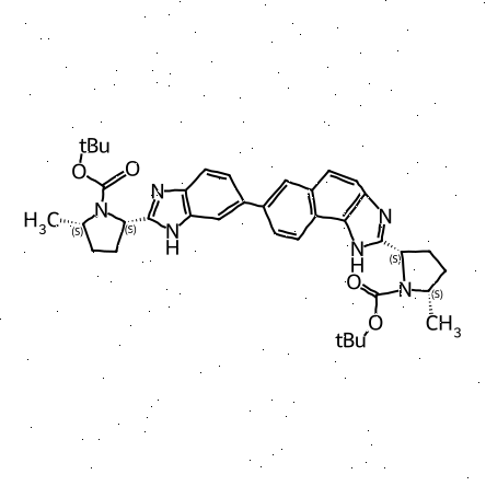 C[C@H]1CC[C@@H](c2nc3ccc(-c4ccc5c(ccc6nc([C@@H]7CC[C@H](C)N7C(=O)OC(C)(C)C)[nH]c65)c4)cc3[nH]2)N1C(=O)OC(C)(C)C